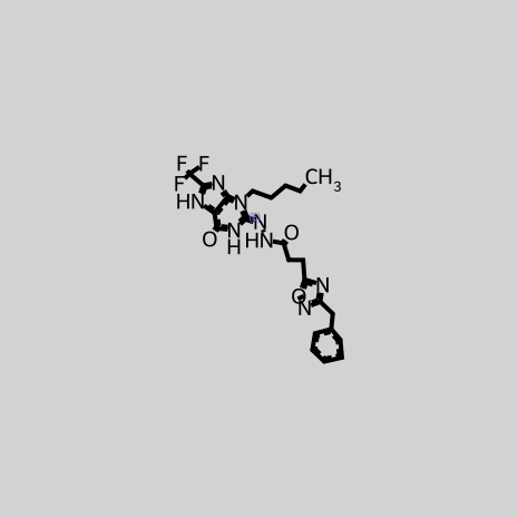 CCCCCn1/c(=N/NC(=O)CCc2nc(Cc3ccccc3)no2)[nH]c(=O)c2[nH]c(C(F)(F)F)nc21